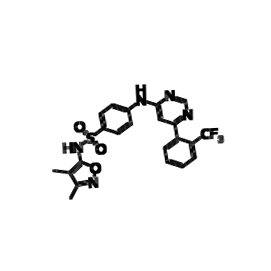 Cc1noc(NS(=O)(=O)c2ccc(Nc3cc(-c4ccccc4C(F)(F)F)ncn3)cc2)c1C